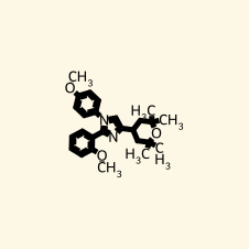 COc1ccc(-n2cc(C3CC(C)(C)OC(C)(C)C3)nc2-c2ccccc2OC)cc1